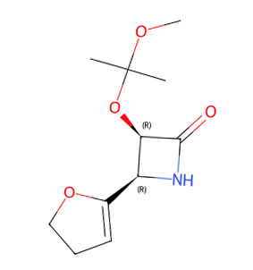 COC(C)(C)O[C@H]1C(=O)N[C@H]1C1=CCCO1